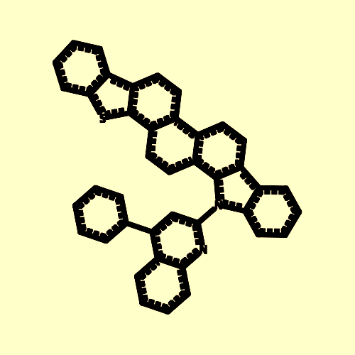 c1ccc(-c2cc(-n3c4ccccc4c4ccc5c6ccc7c8ccccc8sc7c6ccc5c43)nc3ccccc23)cc1